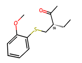 CC[C@H](CSc1ccccc1OC)C(C)=O